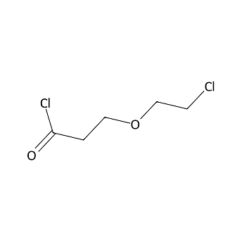 O=C(Cl)CCOCCCl